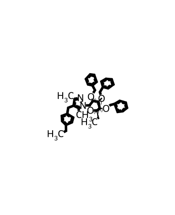 CCc1ccc(Cc2c(C)nn(C3O[C@H](CC)[C@@H](OCc4ccccc4)[C@H](OCc4ccccc4)[C@H]3OCc3ccccc3)c2C)cc1